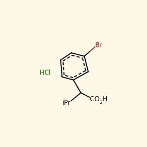 CC(C)C(C(=O)O)c1cccc(Br)c1.Cl